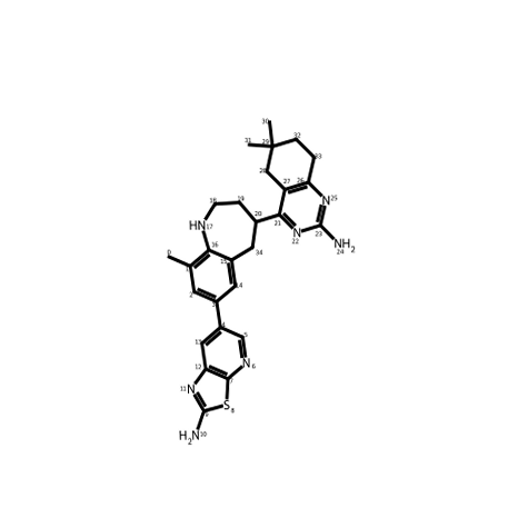 Cc1cc(-c2cnc3sc(N)nc3c2)cc2c1NCCC(c1nc(N)nc3c1CC(C)(C)CC3)C2